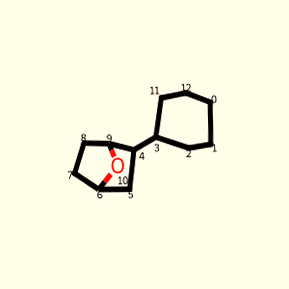 C1CCC(C2CC3CCC2O3)CC1